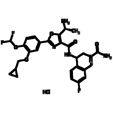 C[C@H](N)c1oc(-c2ccc(OC(F)F)c(OCC3CC3)c2)nc1C(=O)NC(CNC(N)=O)c1ccc(F)cc1F.Cl